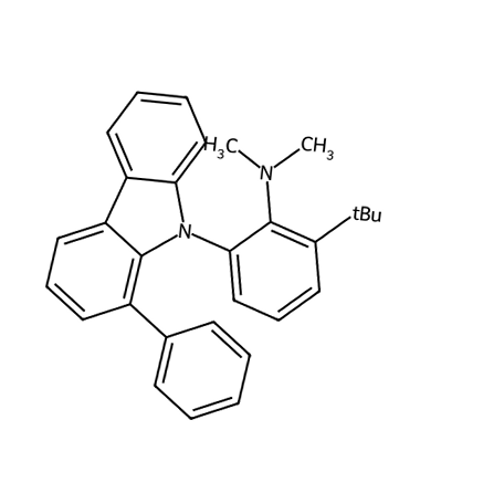 CN(C)c1c(-n2c3ccccc3c3cccc(-c4ccccc4)c32)cccc1C(C)(C)C